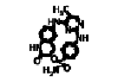 Cc1cnc(Nc2ccc(S(N)(=O)=O)cc2)nc1Nc1ccc2c(c1)CCC(=O)N2